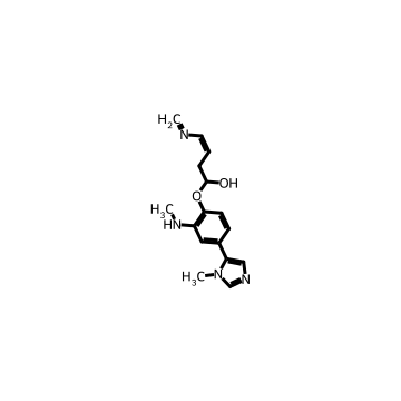 C=N/C=C\CC(O)Oc1ccc(-c2cncn2C)cc1NC